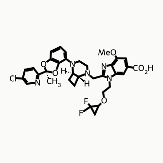 COc1cc(C(=O)O)cc2c1nc(CN1CCN(c3cccc4c3O[C@@](C)(c3ccc(Cl)cn3)O4)[C@@H]3CC[C@H]31)n2CCOC1CC1(F)F